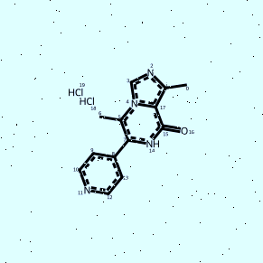 Cc1ncn2c(C)c(-c3ccncc3)[nH]c(=O)c12.Cl.Cl